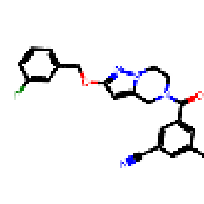 Cc1cc(C#N)cc(C(=O)N2CCn3nc(OCc4cccc(F)c4)cc3C2)c1